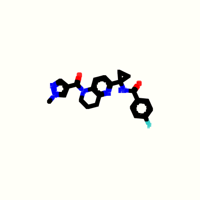 Cn1cc(C(=O)N2CCCc3nc(C4(NC(=O)c5ccc(F)cc5)CC4)ccc32)cn1